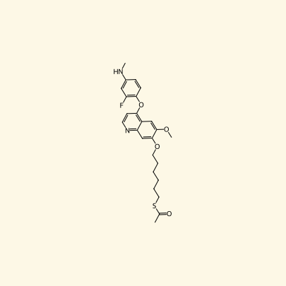 CNc1ccc(Oc2ccnc3cc(OCCCCCCSC(C)=O)c(OC)cc23)c(F)c1